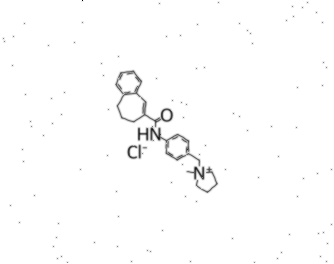 C[N+]1(Cc2ccc(NC(=O)C3=Cc4ccccc4CCC3)cc2)CCCC1.[Cl-]